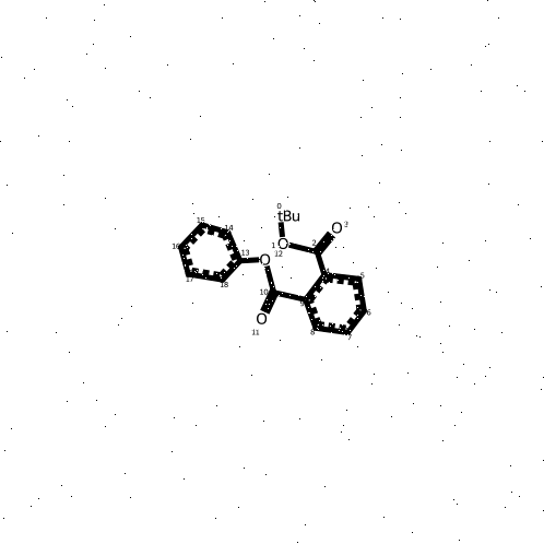 CC(C)(C)OC(=O)c1ccccc1C(=O)Oc1ccccc1